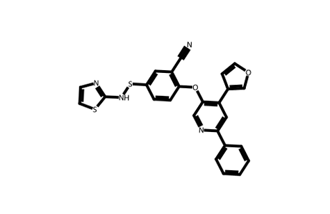 N#Cc1cc(SNc2nccs2)ccc1Oc1cnc(-c2ccccc2)cc1-c1ccoc1